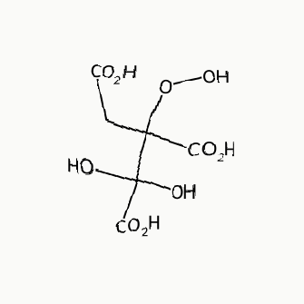 O=C(O)CC(OO)(C(=O)O)C(O)(O)C(=O)O